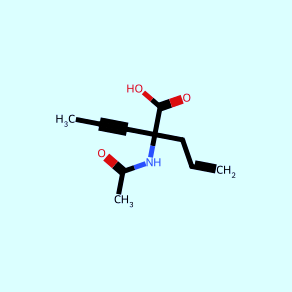 C=CCC(C#CC)(NC(C)=O)C(=O)O